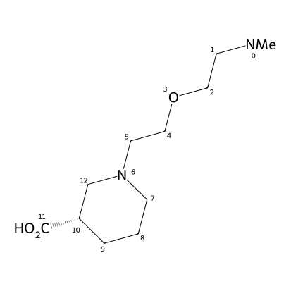 CNCCOCCN1CCC[C@H](C(=O)O)C1